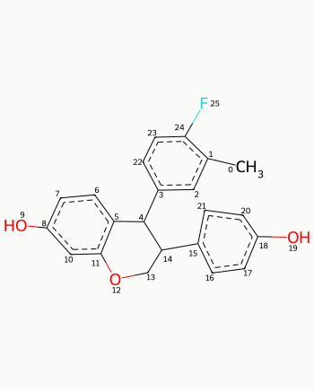 Cc1cc(C2c3ccc(O)cc3OCC2c2ccc(O)cc2)ccc1F